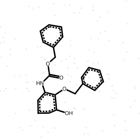 O=C(Nc1cccc(O)c1OCc1ccccc1)OCc1ccccc1